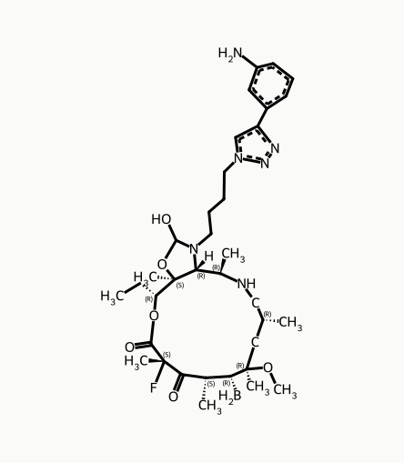 B[C@@H]1[C@H](C)C(=O)[C@](C)(F)C(=O)O[C@H](CC)[C@@]2(C)OC(O)N(CCCCn3cc(-c4cccc(N)c4)nn3)[C@@H]2[C@@H](C)NC[C@H](C)C[C@@]1(C)OC